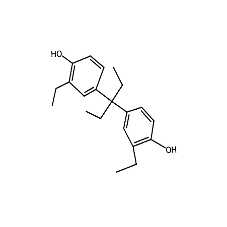 CCc1cc(C(CC)(CC)c2ccc(O)c(CC)c2)ccc1O